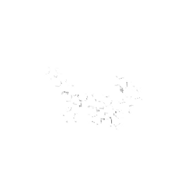 CC12C=CC=CC1C(C1=CC(N3c4ccccc4C4N(C5C=CC=C(C6=NC(c7ccc(C8C=CC=CC8)cc7)=CC(C7=CCCC=C7)N6)C5)c5ccccc5C4(C)c4ccccc43)CC=C1)=Nc1ccccc12